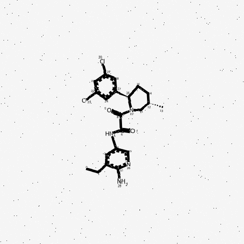 CCc1cc(NC(=O)C(=O)N2C[C@@H](C)CC[C@@H]2c2cc(Cl)cc(Cl)c2)cnc1N